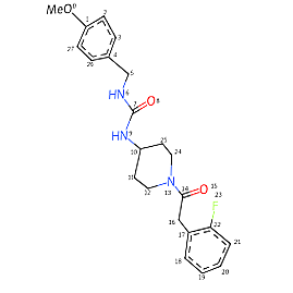 COc1ccc(CNC(=O)NC2CCN(C(=O)Cc3ccccc3F)CC2)cc1